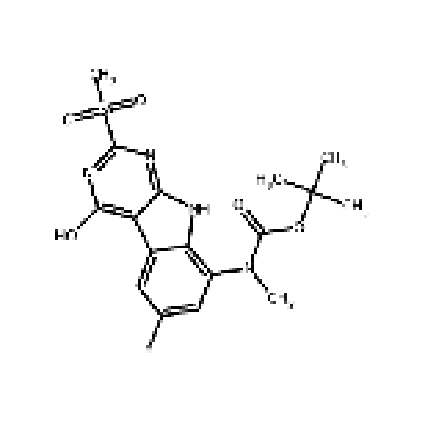 CN(C(=O)OC(C)(C)C)c1cc(F)cc2c1[nH]c1nc(S(C)(=O)=O)nc(O)c12